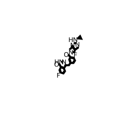 O=C(c1cc(Cc2n[nH]c(=O)c3cc(F)ccc23)ccc1F)N1Cc2cnc(NC3CC3)nc2C1